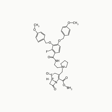 BOC(=O)C1=C(C[N+]2(CCNC(=O)c3ccc(OCc4ccc(OC)cc4)c(OCc4ccc(OC)cc4)c3F)CCCC2)C[S+]([O-])[C@@H]2CC(=O)N12